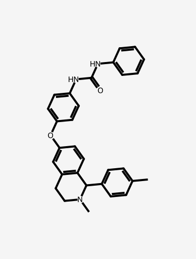 Cc1ccc(C2c3ccc(Oc4ccc(NC(=O)Nc5ccccc5)cc4)cc3CCN2C)cc1